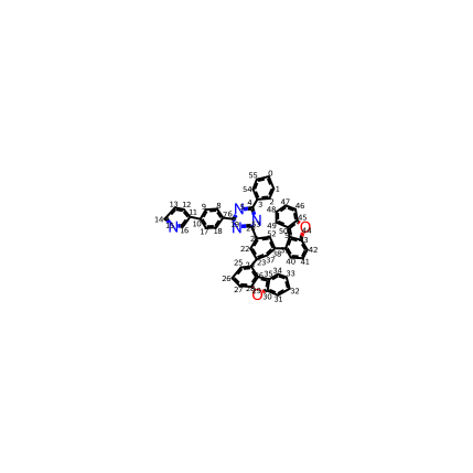 c1ccc(-c2nc(-c3ccc(-c4cccnc4)cc3)nc(-c3cc(-c4cccc5oc6ccccc6c45)cc(-c4cccc5oc6ccccc6c45)c3)n2)cc1